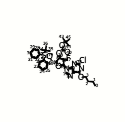 CCCCOc1nc(Cl)nc2c1ncn2[C@@H]1O[C@H](CO[Si](c2ccccc2)(c2ccccc2)C(C)(C)C)[C@@H](OC(=O)OC(C)(C)C)[C@@H]1F